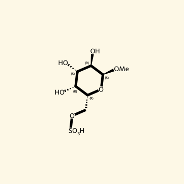 CO[C@H]1O[C@H](COS(=O)(=O)O)[C@H](O)[C@H](O)[C@H]1O